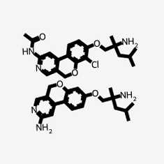 CC(=O)Nc1cc2c(cn1)COc1c-2ccc(OCC(C)(N)CC(C)C)c1Cl.CC(C)CC(C)(N)COc1ccc2c(c1)OCc1cnc(N)cc1-2